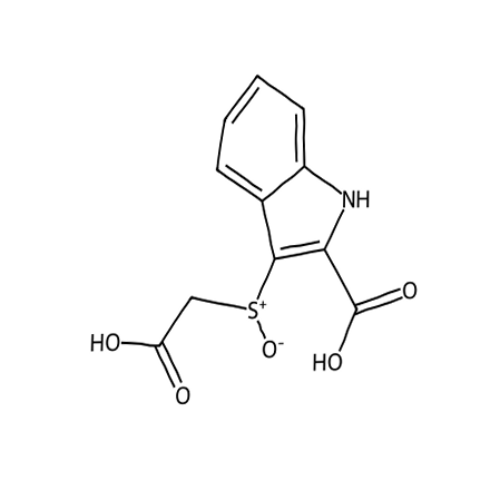 O=C(O)C[S+]([O-])c1c(C(=O)O)[nH]c2ccccc12